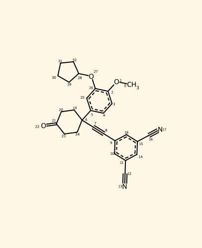 COc1ccc(C2(C#Cc3cc(C#N)cc(C#N)c3)CCC(=O)CC2)cc1OC1CCCC1